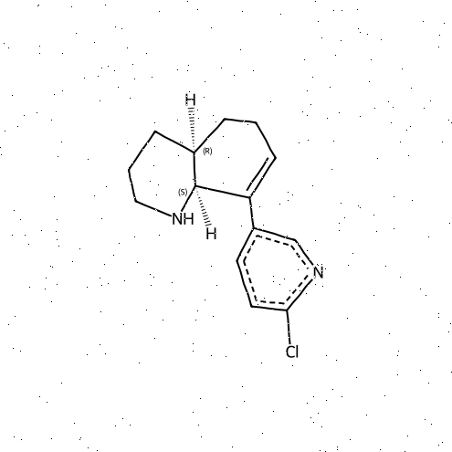 Clc1ccc(C2=CCC[C@@H]3CCCN[C@H]23)cn1